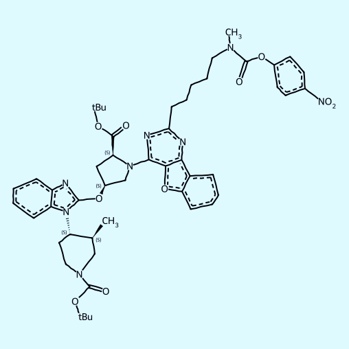 C[C@H]1CN(C(=O)OC(C)(C)C)CC[C@@H]1n1c(O[C@H]2C[C@@H](C(=O)OC(C)(C)C)N(c3nc(CCCCCN(C)C(=O)Oc4ccc([N+](=O)[O-])cc4)nc4c3oc3ccccc34)C2)nc2ccccc21